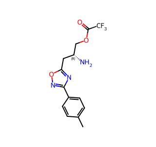 Cc1ccc(-c2noc(C[C@@H](N)COC(=O)C(F)(F)F)n2)cc1